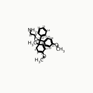 COC1=CCC(C)(C(OCCN)(c2ccccc2)c2ccc(OC)cc2)C=C1